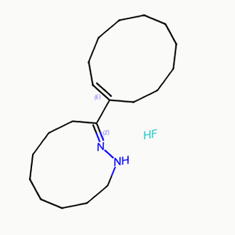 C1=C(/C2=N\NCCCCCCCC2)CCCCCCCCC/1.F